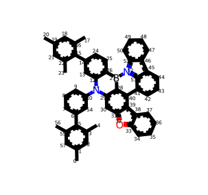 Cc1cc(C)c(-c2cccc(N3c4cc(-c5c(C)cc(C)cc5C)ccc4B4c5c3cc3oc6ccccc6c3c5-c3cccc5c6ccccc6n4c35)c2)c(C)c1